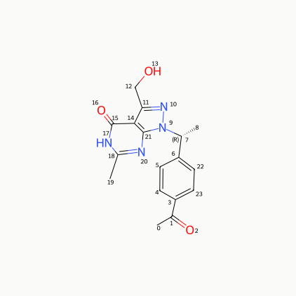 CC(=O)c1ccc([C@@H](C)n2nc(CO)c3c(=O)[nH]c(C)nc32)cc1